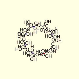 CC(C)CCC1OC2OC(CO)C(OC(O)/C(O)=C(\O)C(CCO)OC(O)/C(O)=C(\O)C(CCO)OC(O)/C(O)=C(\O)C(CCO)OC(O)/C(O)=C(\O)C(CCO)OC3OC(CO)C(OC(O)C(O)C(O)CC(CO)OC(O)/C(O)=C/1O)C(O)C3O)C(O)C2O